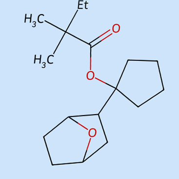 CCC(C)(C)C(=O)OC1(C2CC3CCC2O3)CCCC1